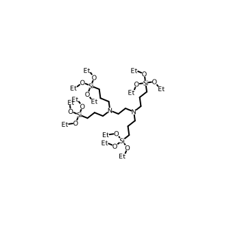 CCO[Si](CCCN(CCC[Si](OCC)(OCC)OCC)CCN(CCC[Si](OCC)(OCC)OCC)CCC[Si](OCC)(OCC)OCC)(OCC)OCC